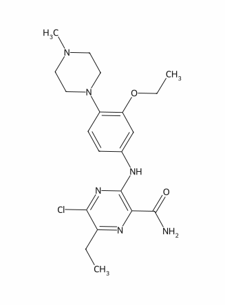 CCOc1cc(Nc2nc(Cl)c(CC)nc2C(N)=O)ccc1N1CCN(C)CC1